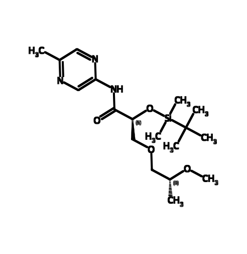 CO[C@H](C)COC[C@H](O[Si](C)(C)C(C)(C)C)C(=O)Nc1cnc(C)cn1